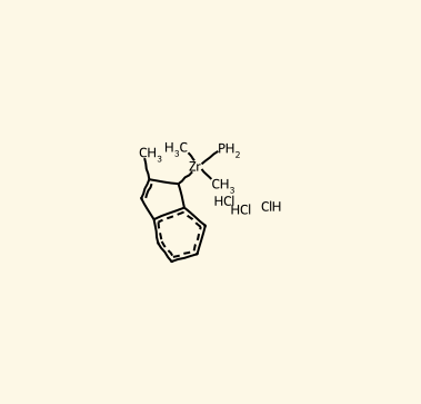 CC1=Cc2ccccc2[CH]1[Zr]([CH3])([CH3])[PH2].Cl.Cl.Cl